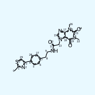 Cc1nc(-c2ccc(CCNC(=O)Cn3cnc4c3c(=O)n(C)c(=O)n4C)cc2)cs1